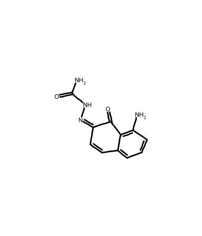 NC(=O)NN=C1C=Cc2cccc(N)c2C1=O